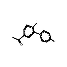 CC(=O)c1ccc(F)c(-c2ccc(C)cc2)c1